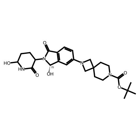 CC(C)(C)OC(=O)N1CCC2(CC1)CN(c1ccc3c(c1)[C@H](O)N(C1CCC(O)NC1=O)C3=O)C2